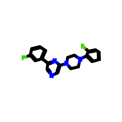 Fc1cccc(-c2cncc(N3CCN(c4ccccc4F)CC3)n2)c1